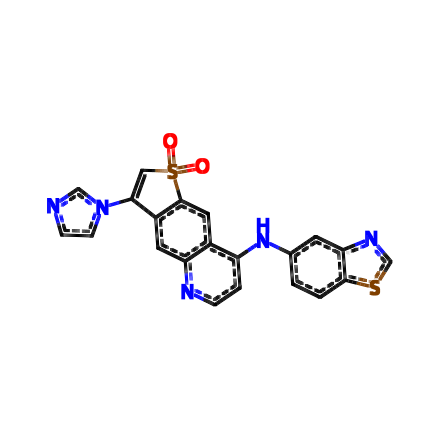 O=S1(=O)C=C(n2ccnc2)c2cc3nccc(Nc4ccc5scnc5c4)c3cc21